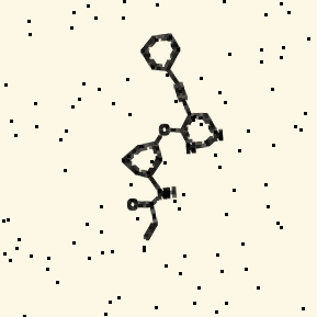 C=CC(=O)Nc1cccc(Oc2ncncc2C#Cc2ccccc2)c1